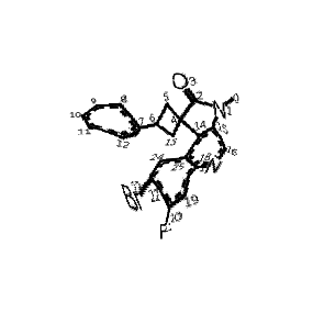 CN1C(=O)C2(CC(c3ccccc3)C2)c2c1cnc1cc(F)c(Br)cc21